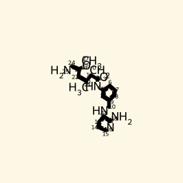 C=C(C(=O)Nc1cccc(CNc2cccnc2N)c1)/C(C)=C\C(=C/N)OC